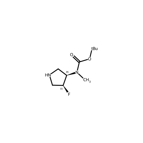 CN(C(=O)OC(C)(C)C)[C@@H]1CNC[C@@H]1F